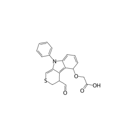 O=CC1CSC=c2c1c1c(n2-c2ccccc2)=CC=CC1OCC(=O)O